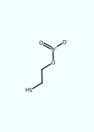 O=[N+]([O-])OCCS